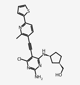 Cc1nc(-c2cccs2)ccc1C#Cc1c(Cl)nc(N)nc1N[C@H]1CC[C@@H](CO)C1